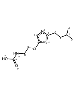 CN(C)CCc1nnc(SCCNC(=O)O)s1